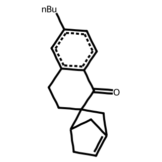 CCCCc1ccc2c(c1)CCC1(CC3=CCC1C3)C2=O